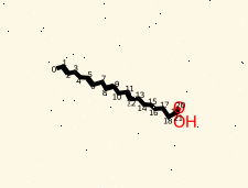 CC=CCCC=CCC=CCC=CCCCCCCC(=O)O